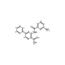 Bc1cncc(C(=O)Nc2cc(-c3ccccc3)ccc2C(=O)O)c1